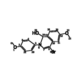 COc1ccc(N2C=C(Br)c3cc(OC)ccc3C2O)cc1